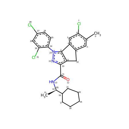 Cc1cc2c(cc1Cl)-c1c(c(C(=O)N[C@H](C)C3CCCCC3)nn1-c1ccc(Cl)cc1Cl)C2